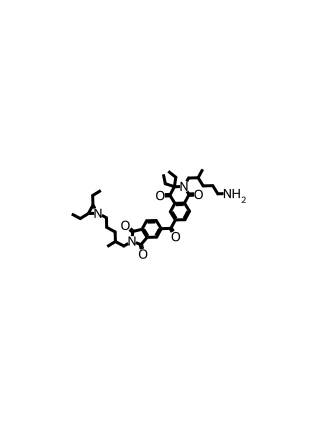 CCC1C(CC)N1CCCC(C)CN1C(=O)c2ccc(C(=O)c3ccc4c(c3)C(=O)C(CC)(CC)N(CC(C)CCCN)C4=O)cc2C1=O